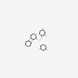 CC(C)(C)c1ccc(OP(Oc2ccc(C(C)(C)C)cc2C(C)(C)C)c2cccc3c2-c2ccccc2-3)c(C(C)(C)C)c1